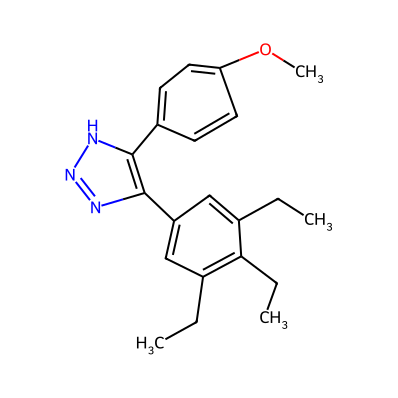 CCc1cc(-c2nn[nH]c2-c2ccc(OC)cc2)cc(CC)c1CC